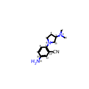 CN(C)C1CCN(c2ccc(N)cc2C#N)C1